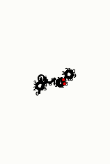 Cc1ccc2occ(CCN3CC4C=CC3C(c3ccccc3)C4)c2c1